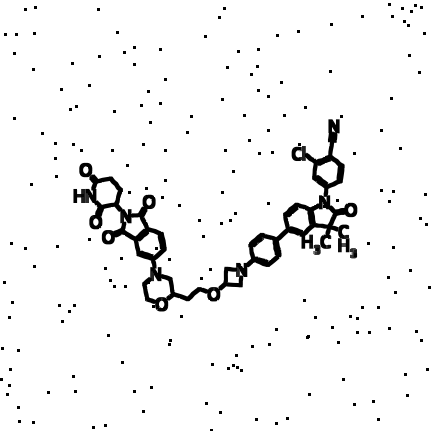 CC1(C)C(=O)N(c2ccc(C#N)c(Cl)c2)c2ccc(-c3ccc(N4CC(OCCC5CN(c6ccc7c(c6)C(=O)N(C6CCC(=O)NC6=O)C7=O)CCO5)C4)cc3)cc21